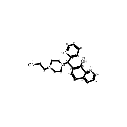 O=NCCN1CCN(C(c2ccccn2)c2ccc3cccnc3c2O)CC1